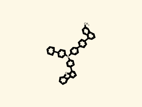 Cc1ccc2c(-c3ccc(-c4ccc(N(c5ccc(-c6ccccc6)cc5)c5ccc(-c6cccc7c6oc6ccccc67)cc5)cc4)cc3)cccc2c1